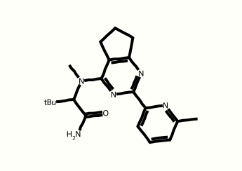 Cc1cccc(-c2nc3c(c(N(C)C(C(N)=O)C(C)(C)C)n2)CCC3)n1